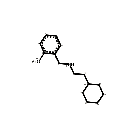 CC(=O)Oc1ccccc1CNCCC1CCCCC1